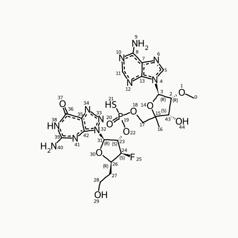 CO[C@H]1[C@H](n2cnc3c(N)ncnc32)OC(C)(COP(=O)(S)O[C@@H]2[C@@H](F)[C@@H](CCO)O[C@H]2n2nnc3c(=O)[nH]c(N)nc32)[C@H]1O